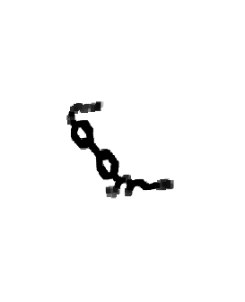 CCCCCOc1ccc(-c2ccc(C(C)OC(=O)CCC(C)CC)cc2)cc1